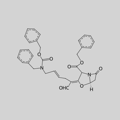 O=CC(CC=CCN(Cc1ccccc1)C(=O)OCc1ccccc1)=C1O[C@@H]2CC(=O)N2C1C(=O)OCc1ccccc1